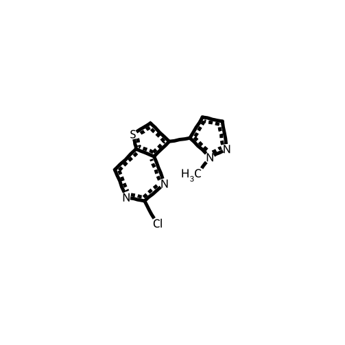 Cn1nccc1-c1csc2cnc(Cl)nc12